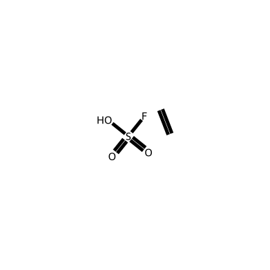 C=C.O=S(=O)(O)F